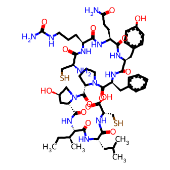 CC[C@H](C)[C@H](NC(=O)[C@@H]1C[C@@H](O)CN1C(=O)[C@@H]1CCCN1C(=O)[C@H](Cc1ccccc1)NC(=O)[C@H](Cc1ccc(O)cc1)NC(=O)[C@H](CCC(N)=O)NC(=O)[C@H](CCCNC(N)=O)NC(=O)[C@@H](N)CS)C(=O)N[C@@H](CC(C)C)C(=O)N[C@@H](CS)C(=O)O